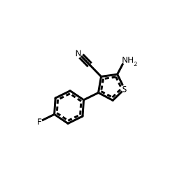 N#Cc1c(-c2ccc(F)cc2)csc1N